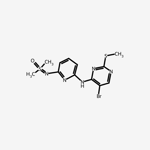 CSc1ncc(Br)c(Nc2cccc(N=S(C)(C)=O)n2)n1